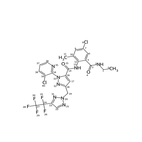 CCNC(=O)c1cc(Cl)cc(C)c1NC(=O)c1cc(Cn2ncc(C(F)(F)C(F)(F)F)n2)nn1-c1ncccc1Cl